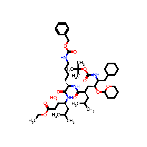 CCOC(=O)C[C@H](O)[C@H](CC(C)C)NC(=O)[C@H](CCCCNC(=O)OCc1ccccc1)NC(=O)[C@H](CC(C)C)C[C@H](OC1CCCCO1)[C@H](CC1CCCCC1)NC(=O)OC(C)(C)C